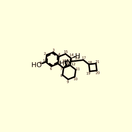 Oc1ccc2c(c1)C13CCCC[C@@]1(O)[C@@H](C2)N(CC1CCC1)CC3